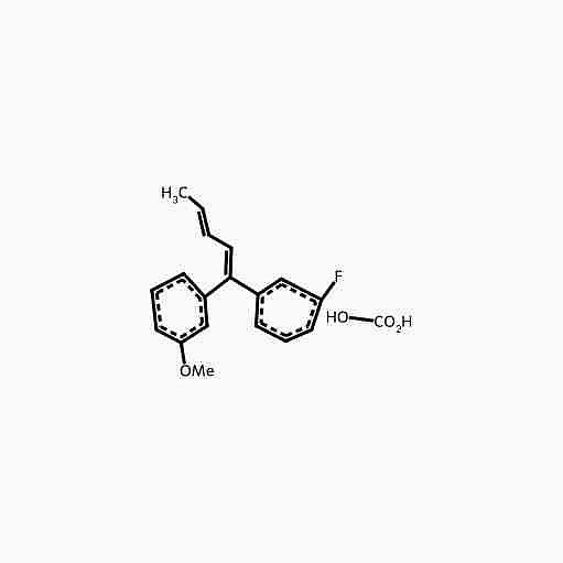 C/C=C/C=C(/c1cccc(F)c1)c1cccc(OC)c1.O=C(O)O